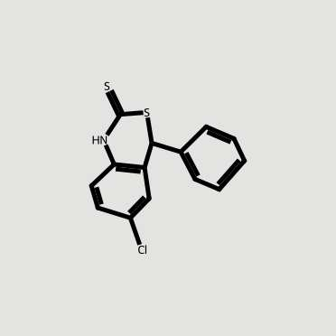 S=C1Nc2ccc(Cl)cc2C(c2ccccc2)S1